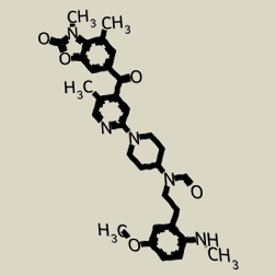 CNc1ccc(OC)cc1CCN(C=O)C1CCN(c2cc(C(=O)c3cc(C)c4c(c3)oc(=O)n4C)c(C)cn2)CC1